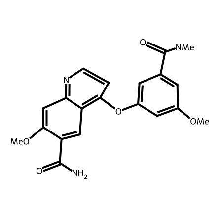 CNC(=O)c1cc(OC)cc(Oc2ccnc3cc(OC)c(C(N)=O)cc23)c1